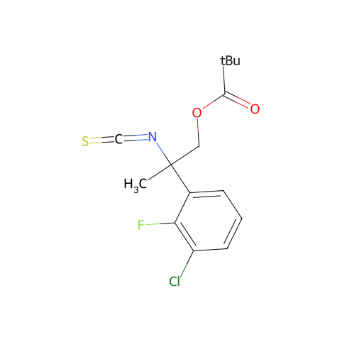 CC(C)(C)C(=O)OCC(C)(N=C=S)c1cccc(Cl)c1F